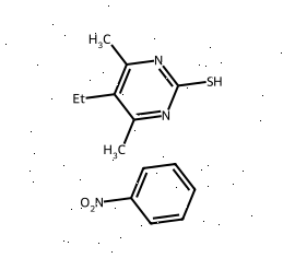 CCc1c(C)nc(S)nc1C.O=[N+]([O-])c1ccccc1